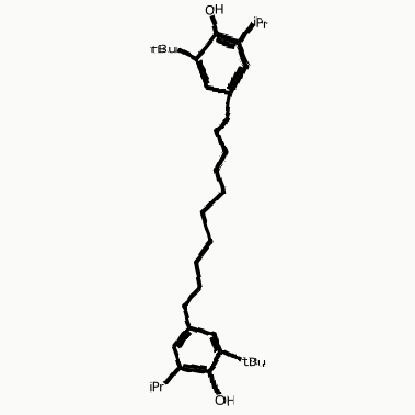 CC(C)c1cc(CCCCCCCCCCc2cc(C(C)C)c(O)c(C(C)(C)C)c2)cc(C(C)(C)C)c1O